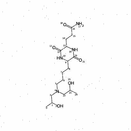 CC(O)CN(CCCCC1NC(=O)C(CCC(N)=O)NC1=O)CC(C)O